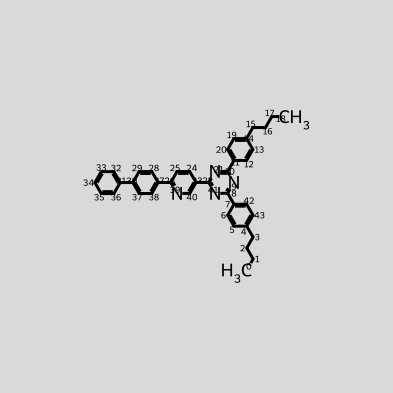 CCCCc1ccc(-c2nc(-c3ccc(CCCC)cc3)nc(-c3ccc(-c4ccc(-c5ccccc5)cc4)nc3)n2)cc1